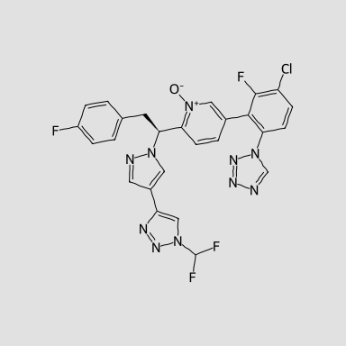 [O-][n+]1cc(-c2c(-n3cnnn3)ccc(Cl)c2F)ccc1[C@H](Cc1ccc(F)cc1)n1cc(-c2cn(C(F)F)nn2)cn1